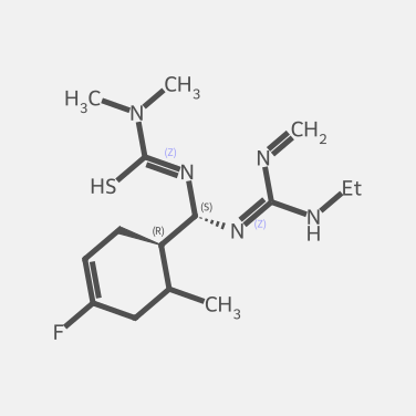 C=N/C(=N\[C@@H](/N=C(\S)N(C)C)[C@@H]1CC=C(F)CC1C)NCC